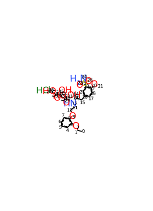 CCOc1ccccc1OCCN[C@H](C)Cc1ccc(OC)c(S(N)(=O)=O)c1.Cl.O=[Si](O)O.O=[Si](O)O